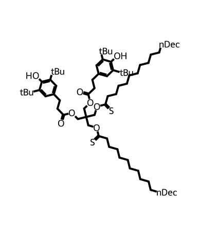 CCCCCCCCCCCCCCCCCCCCC(=S)OCC(COC(=O)CCc1cc(C(C)(C)C)c(O)c(C(C)(C)C)c1)(COC(=O)CCc1cc(C(C)(C)C)c(O)c(C(C)(C)C)c1)COC(=S)CCCCCCCCCCCCCCCCCCCC